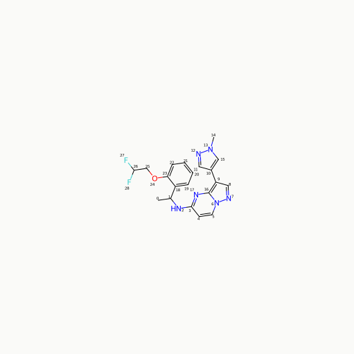 CC(Nc1ccn2ncc(-c3cnn(C)c3)c2n1)c1ccccc1OCC(F)F